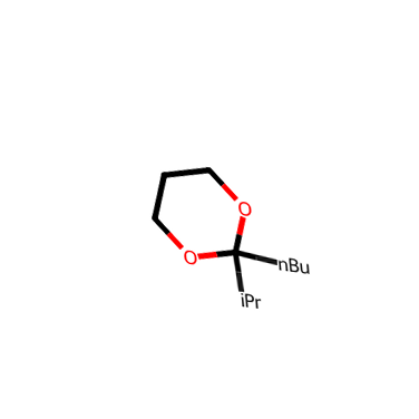 CCCCC1(C(C)C)OCCCO1